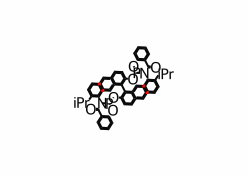 CC(C)c1ccccc1N1C(=O)c2ccccc2OP1Oc1ccc2ccccc2c1-c1c(OP2Oc3ccccc3C(=O)N2c2ccccc2C(C)C)ccc2ccccc12